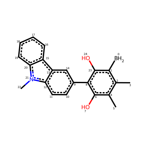 Bc1c(C)c(C)c(O)c(-c2ccc3c(c2)c2ccccc2n3C)c1O